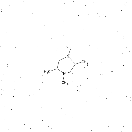 CC1CN(I)C(C)CN1C